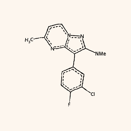 CNc1nn2ccc(C)nc2c1-c1ccc(F)c(Cl)c1